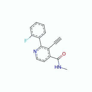 C#Cc1c(C(=O)NC)ccnc1-c1ccccc1F